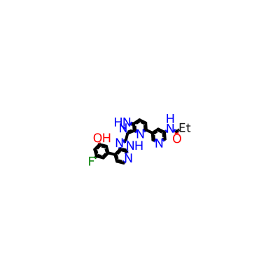 CCC(=O)Nc1cncc(-c2ccc3[nH]nc(-c4nc5c(-c6cc(O)cc(F)c6)ccnc5[nH]4)c3n2)c1